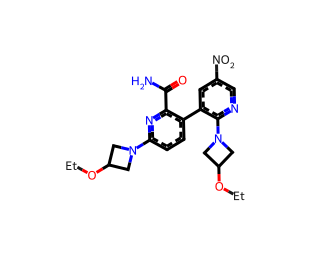 CCOC1CN(c2ccc(-c3cc([N+](=O)[O-])cnc3N3CC(OCC)C3)c(C(N)=O)n2)C1